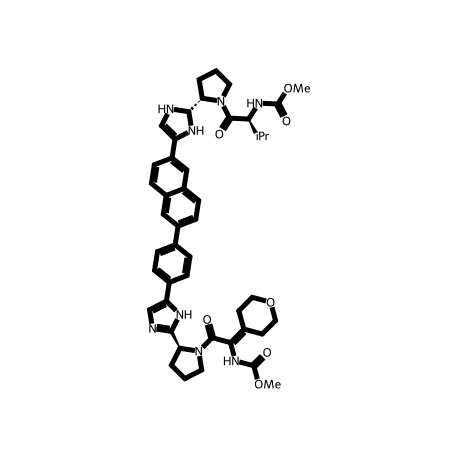 COC(=O)NC(C(=O)N1CCC[C@H]1c1ncc(-c2ccc(-c3ccc4cc(C5=CNC([C@@H]6CCCN6C(=O)[C@@H](NC(=O)OC)C(C)C)N5)ccc4c3)cc2)[nH]1)=C1CCOCC1